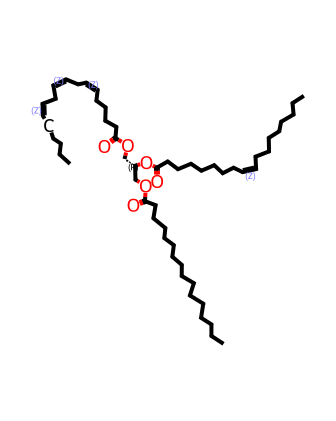 CCCCC/C=C\C/C=C\C/C=C\CCCCC(=O)OC[C@@H](COC(=O)CCCCCCCCCCCCCCC)OC(=O)CCCCCCC/C=C\CCCCCCCC